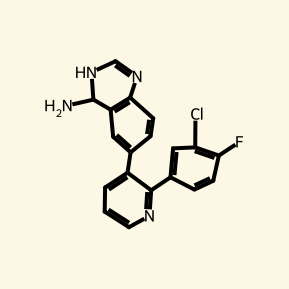 NC1NC=Nc2ccc(-c3cccnc3-c3ccc(F)c(Cl)c3)cc21